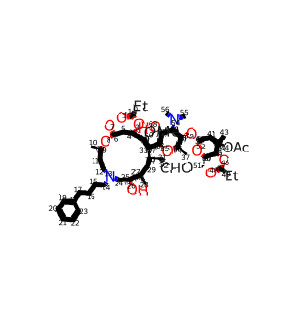 CCC(=O)O[C@@H]1CC(=O)O[C@H](C)CCN(CCCCc2ccccc2)C[C@H](O)[C@H](C)C[C@H](CC=O)[C@H]([C@@H]2O[C@H](C)[C@@H](O[C@@H]3C[C@@](C)(OC(C)=O)[C@@H](OC(=O)CC)[C@H](C)O3)[C@H](N(C)C)[C@H]2O)[C@@H]1OC